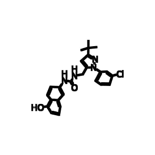 CC(C)(C)c1cc(CNC(=O)Nc2ccc3c(O)cccc3c2)n(-c2cccc(Cl)c2)n1